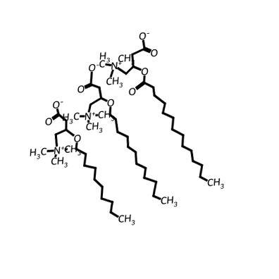 CCCCCCCCCCCCCC(=O)OC(CC(=O)[O-])C[N+](C)(C)C.CCCCCCCCCCCCOC(CC(=O)[O-])C[N+](C)(C)C.CCCCCCCCCCOC(CC(=O)[O-])C[N+](C)(C)C